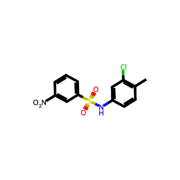 Cc1ccc(NS(=O)(=O)c2cccc([N+](=O)[O-])c2)cc1Cl